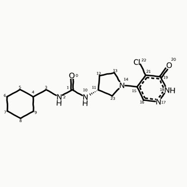 O=C(NCC1CCCCC1)N[C@@H]1CCN(c2cn[nH]c(=O)c2Cl)C1